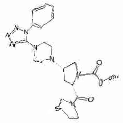 CC(C)(C)OC(=O)N1C[C@@H](N2CCN(c3nnnn3-c3ccccc3)CC2)C[C@H]1C(=O)N1CCSC1